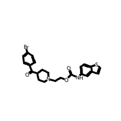 O=C(Nc1ccc2sccc2c1)OCCN1CCC(C(=O)c2ccc(Br)cc2)CC1